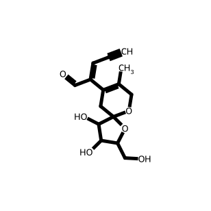 C#C/C=C(/C=O)C1=C(C)COC2(C1)OC(CO)C(O)C2O